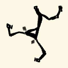 CCOC(=O)C1[C@@H](CO)[C@H]1CO